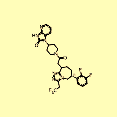 O=C(CC1CC[C@@H](c2cccc(F)c2F)Cn2c(CC(F)(F)F)nnc21)N1CCC(n2c(=O)[nH]c3ncccc32)CC1